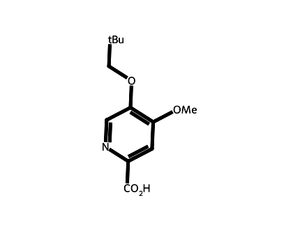 COc1cc(C(=O)O)ncc1OCC(C)(C)C